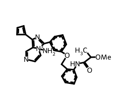 COC(C)C(=O)Nc1ccccc1COc1cccc(C2=NC(C3=CC=C3)=C3C=NC=C[N+]23N)c1